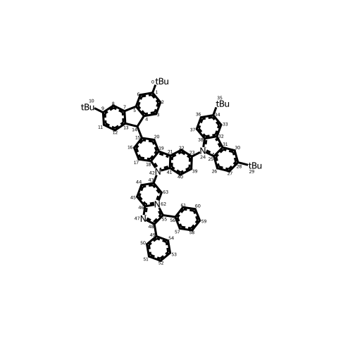 CC(C)(C)c1ccc2c(c1)-c1cc(C(C)(C)C)ccc1C2c1ccc2c(c1)c1cc(-n3c4ccc(C(C)(C)C)cc4c4cc(C(C)(C)C)ccc43)ccc1n2-c1ccc2nc(-c3ccccc3)c(-c3ccccc3)n2c1